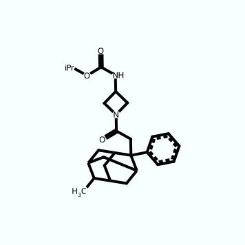 CC(C)OC(=O)NC1CN(C(=O)CC2(c3ccccc3)C3CC4CC2CC(C3)C4C)C1